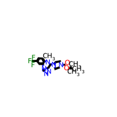 Cc1cc(C(F)(F)F)cc2c1nc(N1CCN(C(=O)OC(C)(C)C)CC1)c1nncn12